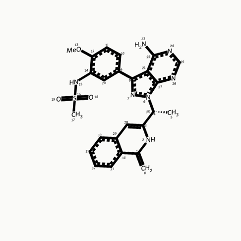 C=C1NC([C@@H](C)n2nc(-c3ccc(OC)c(NS(C)(=O)=O)c3)c3c(N)ncnc32)=Cc2ccccc21